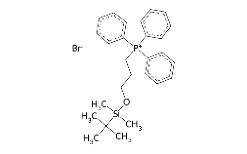 CC(C)(C)[Si](C)(C)OCCC[P+](c1ccccc1)(c1ccccc1)c1ccccc1.[Br-]